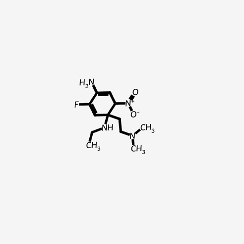 CCNC1(CCN(C)C)C=C(F)C(N)=CC1[N+](=O)[O-]